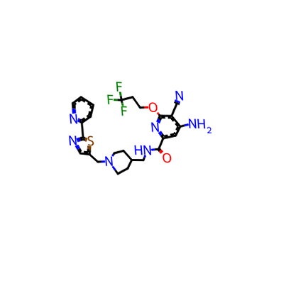 N#Cc1c(N)cc(C(=O)NCC2CCN(Cc3cnc(-c4ccccn4)s3)CC2)nc1OCCC(F)(F)F